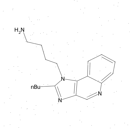 CCCCc1nc2cnc3ccccc3c2n1CCCCN